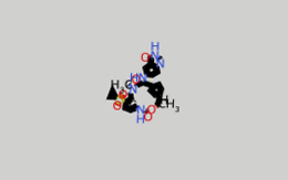 C[C@H]1COC(=O)Nc2ccc(S(=O)(=O)C3CC3)c(c2)CN(C)C(=O)C(Nc2ccc3nc[nH]c(=O)c3c2)c2ccc1cc2